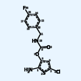 Nc1sc(Cl)cc1OC(=O)NCc1ccc(F)cc1